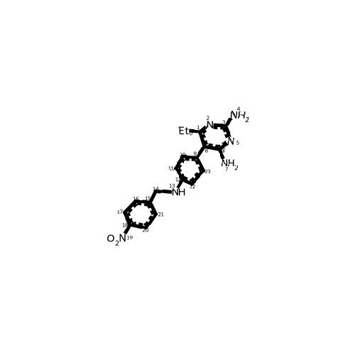 CCc1nc(N)nc(N)c1-c1ccc(NCc2ccc([N+](=O)[O-])cc2)cc1